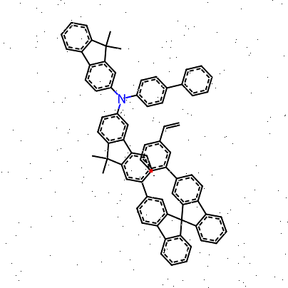 C=Cc1cccc(-c2ccc3c(c2)C2(c4ccccc4-3)c3ccccc3-c3ccc(-c4ccc5c(c4)C(C)(C)c4ccc(N(c6ccc(-c7ccccc7)cc6)c6ccc7c(c6)C(C)(C)c6ccccc6-7)cc4-5)cc32)c1